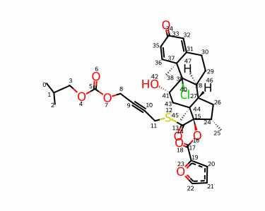 CC(C)COC(=O)OCC#CCSC(=O)[C@@]1(OC(=O)c2ccco2)[C@@H](C)C[C@H]2[C@@H]3CCC4=CC(=O)C=C[C@]4(C)[C@@]3(Cl)[C@@H](O)C[C@@]21C